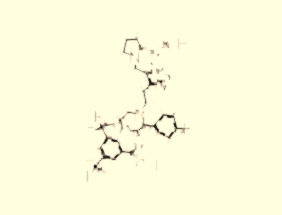 COC[C@@H]1CCCN1Cc1[nH]nnc1CCN1CCOC(O[C@H](C)c2cc(C(F)(F)F)cc(C(F)(F)F)c2)C1c1ccc(F)cc1